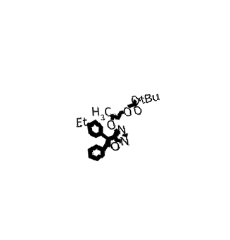 CCc1ccc(-c2c(-c3ccccc3)oc3ncnc(O[C@H](C)CCOCC(=O)OC(C)(C)C)c23)cc1